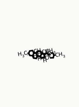 CC1CC[C@@]2(OC1)O[C@H]1C[C@H]3[C@@H]4CC=C5C[C@@H](C)CC[C@]5(C)[C@H]4CC[C@]3(C)[C@H]1[C@@H]2C